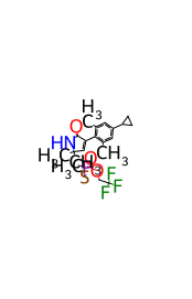 Cc1cc(C2CC2)cc(C)c1C1=C(OP(C)(=S)OCC(F)(F)F)C(C)(C)NC1=O